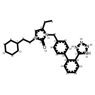 CCc1cn(CCC2CCCCC2)c(=O)n1Cc1ccc(-c2ccccc2-c2nnn[nH]2)cc1